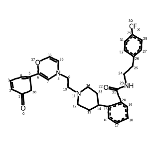 O=C1C=CC=C(C2=CN(CCN3CCC(c4ccccc4C(=O)NCCc4ccc(C(F)(F)F)cc4)CC3)C=CO2)C1